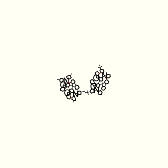 Cc1ccc(N(c2ccc(C)cc2)c2cc3c(c4c2oc2ccccc24)-c2c(cc(N(c4ccc(C)cc4)c4ccc(CCC(C)(C)c5ccc(N(c6ccccc6)c6cc7c(c8c6oc6ccccc68)-c6c(cc(N(c8ccccc8)c8ccc(C(C)(C)C)cc8)c8c6oc6ccccc68)C76c7ccccc7-c7ccccc76)cc5)cc4)c4c2oc2ccccc24)C32c3ccccc3-c3ccccc32)cc1